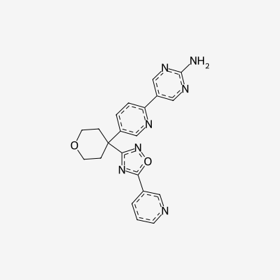 Nc1ncc(-c2ccc(C3(c4noc(-c5cccnc5)n4)CCOCC3)cn2)cn1